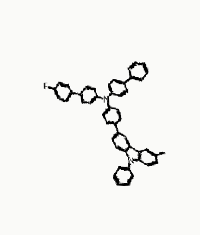 Cc1ccc2c(c1)c1cc(-c3ccc(N(c4ccc(-c5ccccc5)cc4)c4ccc(-c5ccc(F)cc5)cc4)cc3)ccc1n2-c1ccccc1